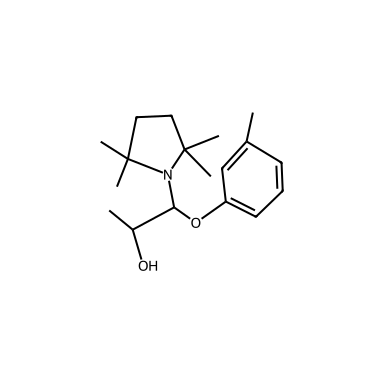 Cc1cccc(OC(C(C)O)N2C(C)(C)CCC2(C)C)c1